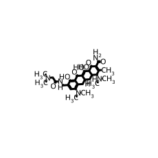 CC1=C(C(N)=O)C(=O)[C@@]2(O)C(O)=C3C(=O)c4c(O)c(CNC(=O)CN(C)C)cc(N(C)C)c4C[C@H]3C[C@H]2C1N(C)C